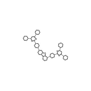 c1ccc(-c2cc(-c3ccccc3)nc(-c3ccc(-c4ccc5c(c4)sc4c(-c6ccc(-c7nc(-c8ccccc8)cc(-c8ccccc8)n7)cc6)cccc45)cc3)n2)cc1